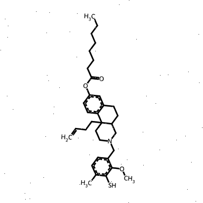 C=CCCC12CCN(Cc3ccc(C)c(S)c3OC)CC1CCc1cc(OC(=O)CCCCCCC)ccc12